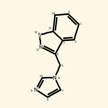 c1ccc2c(Cn3ccnc3)nsc2c1